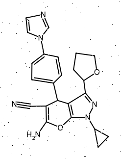 N#CC1=C(N)Oc2c(c(C3CCCO3)nn2C2CC2)C1c1ccc(-n2ccnc2)cc1